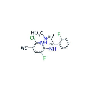 C[C@H](NC(=O)O)[C@@H](Nc1nc(Cl)c(C#N)cc1F)c1ccccc1F